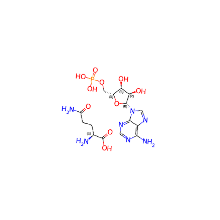 NC(=O)CC[C@H](N)C(=O)O.Nc1ncnc2c1ncn2[C@@H]1O[C@H](COP(=O)(O)O)[C@@H](O)[C@H]1O